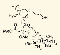 C=C1[C@H](C)C[C@H](CCCO)O[C@@H]1C[C@@H]1O[C@H](C[C@@H](CO[Si](C)(C)C(C)(C)C)O[Si](C)(C)C(C)(C)C)[C@H](OC)[C@H]1CC(=O)OC